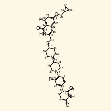 O=C1CCN(c2ccc(N3CCC(N4CCC(SCc5nc6cc(OCC7CC7)cc(F)c6c(=O)[nH]5)CC4)CC3)c(F)c2)C(=O)N1